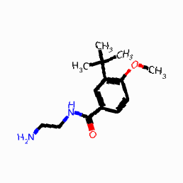 COc1ccc(C(=O)NCCN)cc1C(C)(C)C